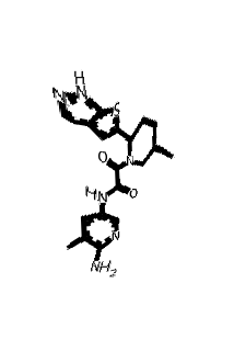 Cc1cc(NC(=O)C(=O)N2CC(C)CCC2c2cc3cn[nH]c3s2)cnc1N